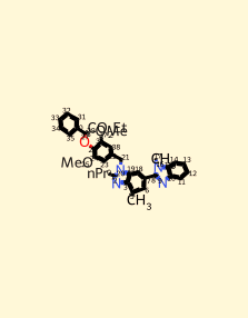 CCCc1nc2c(C)cc(-c3nc4ccccc4n3C)cc2n1Cc1cc(OC)c(OC(C(=O)OCC)c2ccccc2)c(OC)c1